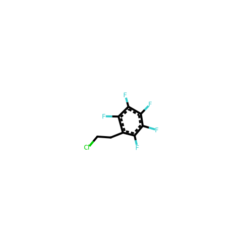 Fc1c(F)c(F)c(CCCl)c(F)c1F